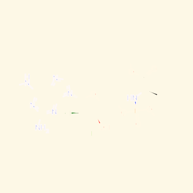 CNc1nc(N)nc2c1ncn2[C@@H]1O[C@H](CO[P@](=O)(N[C@H](C)C(=O)OC(C)C)Oc2ccccc2)[C@@H](O)[C@]1(Cl)C(F)F